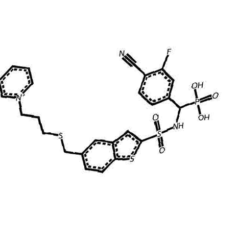 N#Cc1ccc(C(NS(=O)(=O)c2cc3cc(CSCCC[n+]4ccccc4)ccc3s2)P(=O)(O)O)cc1F